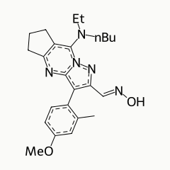 CCCCN(CC)c1c2c(nc3c(-c4ccc(OC)cc4C)c(C=NO)nn13)CCC2